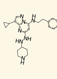 c1ccc(CCNc2cc(NNC3CCNCC3)nc3c(C4CC4)cnn23)cc1